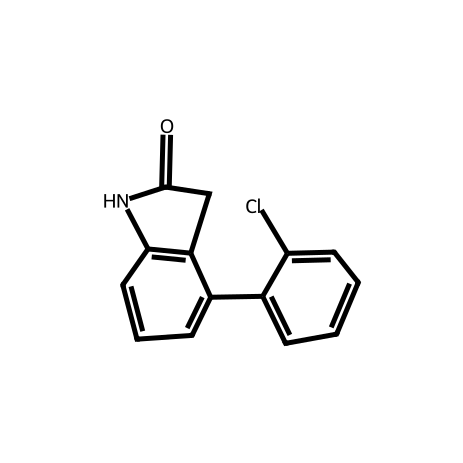 O=C1Cc2c(cccc2-c2ccccc2Cl)N1